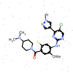 COc1cc(C(=O)N2CCC(N(C)C)CC2)c(F)cc1Nc1ncc(Cl)c(-c2cnn(C(C)C)c2)n1